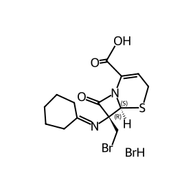 Br.O=C(O)C1=CCS[C@@H]2N1C(=O)[C@@]2(CBr)N=C1CCCCC1